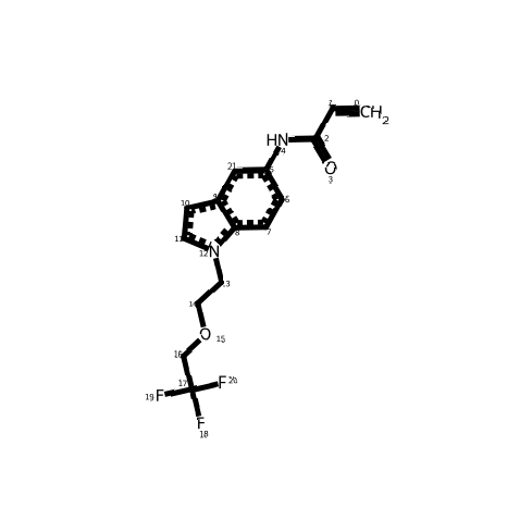 C=CC(=O)Nc1ccc2c(ccn2CCOCC(F)(F)F)c1